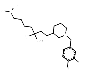 NC(CCCCB(O)O)(CCC1CCCN(Cc2ccc(Cl)c(Cl)c2)C1)C(=O)O